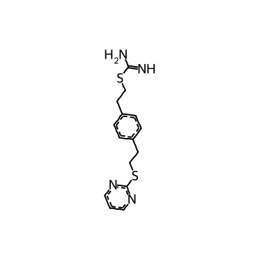 N=C(N)SCCc1ccc(CCSc2ncccn2)cc1